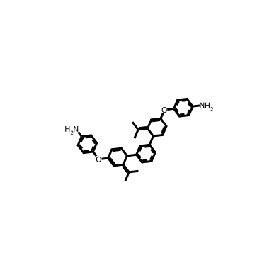 CC(C)=C1C=C(Oc2ccc(N)cc2)C=CC1c1cccc(C2C=CC(Oc3ccc(N)cc3)=CC2=C(C)C)c1